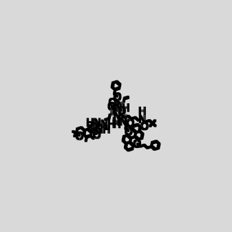 C=CC[C@H](NC(=O)[C@@H](CCCNC(=N)NS(=O)(=O)c1c(C)c(C)c2c(c1C)CCC(C)(C)O2)NC(=O)[C@@H](CCCCNC(=O)CC(C)(C)C)NC(=O)COc1ccc2ccccc2c1-c1c(OCCCc2ccccc2)ccc2ccccc12)C(=O)OCc1ccccc1